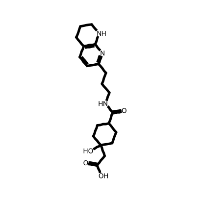 O=C(O)CC1(O)CCC(C(=O)NCCCc2ccc3c(n2)NCCC3)CC1